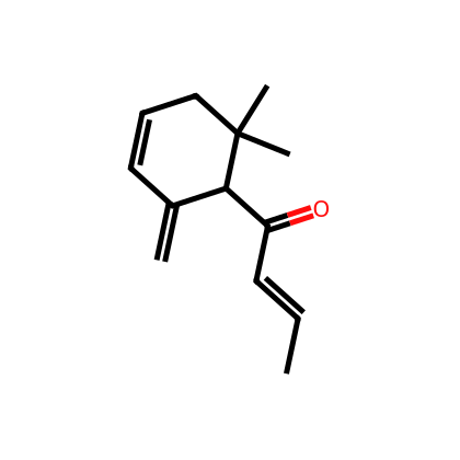 C=C1C=CCC(C)(C)C1C(=O)C=CC